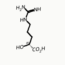 N=C(N)NCCC[C@@H](O)C(=O)O